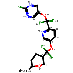 CCCCCC1CCC(C(F)(F)Oc2ccc(C(F)(F)Oc3cnc(F)nc3)nc2)CO1